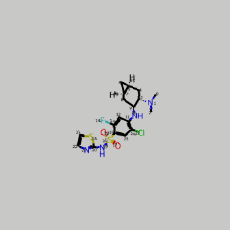 CN(C)[C@H]1C[C@@H]2C[C@@H]2C[C@@H]1Nc1cc(F)c(S(=O)(=O)Nc2nccs2)cc1Cl